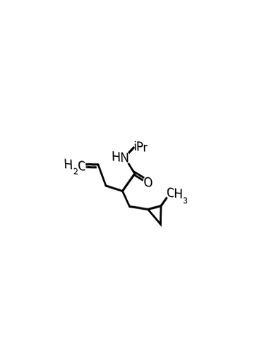 C=CCC(CC1CC1C)C(=O)NC(C)C